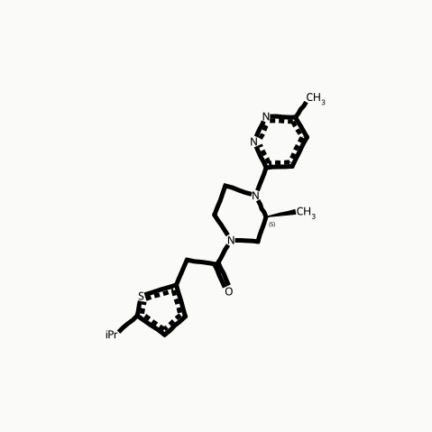 Cc1ccc(N2CCN(C(=O)Cc3ccc(C(C)C)s3)C[C@@H]2C)nn1